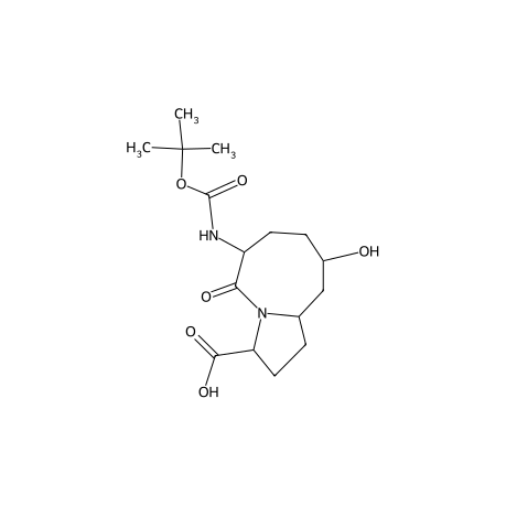 CC(C)(C)OC(=O)NC1CCC(O)CC2CCC(C(=O)O)N2C1=O